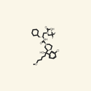 COCCCC[C@@](O)(c1cccc(Cl)c1)[C@@H]1CCCN(C(=O)N[C@H](CC2CCCCC2)CN(CC(F)(F)F)C(=O)O)C1